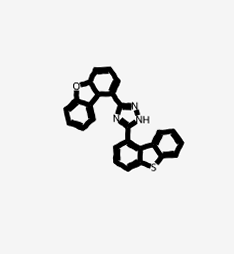 C1=CC2Oc3ccccc3C2C(c2n[nH]c(-c3cccc4sc5ccccc5c34)n2)=C1